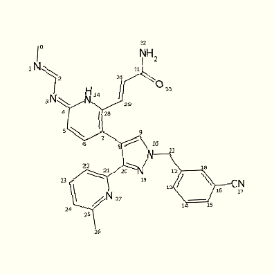 C/N=C/N=c1/ccc(-c2cn(Cc3cccc(C#N)c3)nc2-c2cccc(C)n2)c(/C=C/C(N)=O)[nH]1